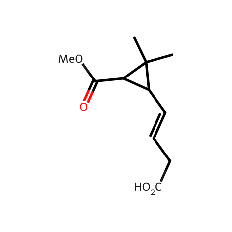 COC(=O)C1C(C=CCC(=O)O)C1(C)C